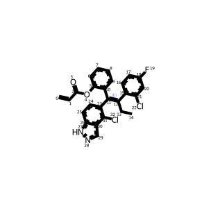 C=CC(=O)Oc1ccccc1/C(=C(/CC)c1ccc(F)cc1Cl)c1ccc2[nH]ncc2c1Cl